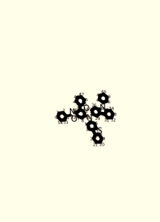 c1ccc(-c2nc3c(cc(N(c4ccc5c(c4)sc4ccccc45)c4ccc5c(c4)c4ccccc4n5-c4ccccc4)c4oc5ccccc5c43)o2)cc1